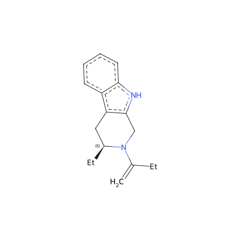 C=C(CC)N1Cc2[nH]c3ccccc3c2C[C@@H]1CC